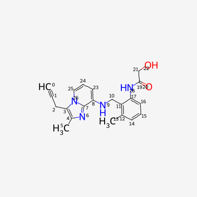 C#CCc1c(C)nc2c(NCc3c(C)cccc3NC(=O)CO)cccn12